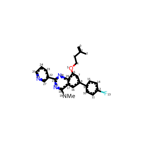 C=C(C)CCOc1cc(-c2ccc(F)cc2)cc2c(NC)nc(-c3cccnc3)nc12